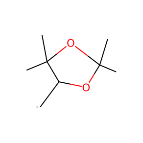 [CH2]C1OC(C)(C)OC1(C)C